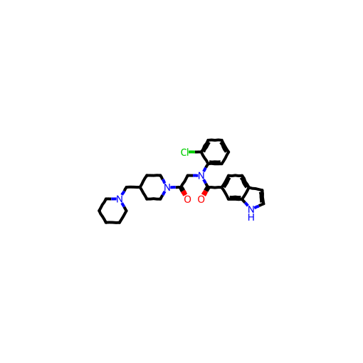 O=C(CN(C(=O)c1ccc2cc[nH]c2c1)c1ccccc1Cl)N1CCC(CN2CCCCC2)CC1